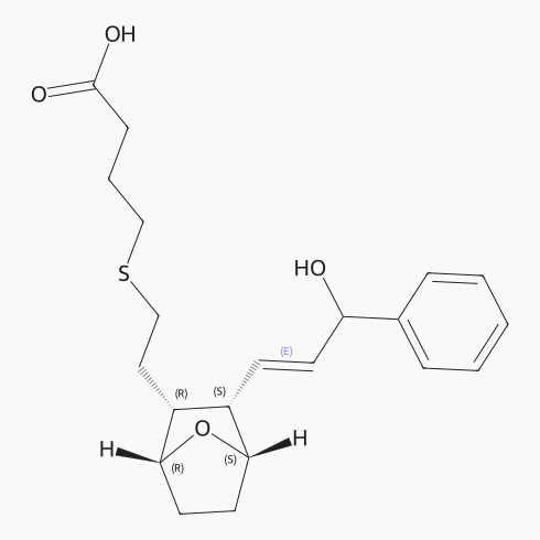 O=C(O)CCCSCC[C@@H]1[C@H](/C=C/C(O)c2ccccc2)[C@@H]2CC[C@H]1O2